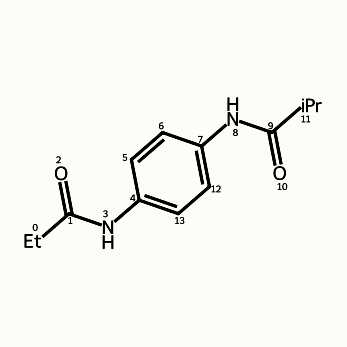 CCC(=O)Nc1ccc(NC(=O)C(C)C)cc1